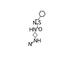 N#CN[C@H]1C[C@@H](NC(=O)c2ncc(-c3ccccc3)s2)C1